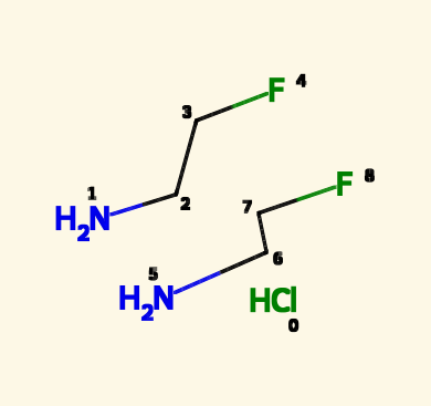 Cl.NCCF.NCCF